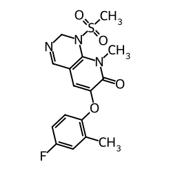 Cc1cc(F)ccc1Oc1cc2c(n(C)c1=O)N(S(C)(=O)=O)CN=C2